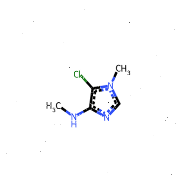 CNc1ncn(C)c1Cl